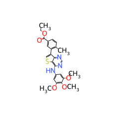 CCOC(=O)c1ccc(C)c(-c2csc3c(Nc4cc(OC)c(OC)c(OC)c4)ncnc23)c1